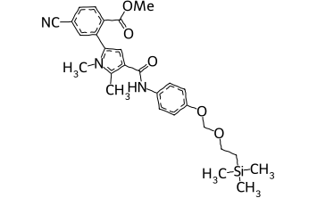 COC(=O)c1ccc(C#N)cc1-c1cc(C(=O)Nc2ccc(OCOCC[Si](C)(C)C)cc2)c(C)n1C